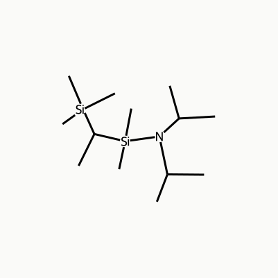 CC(C)N(C(C)C)[Si](C)(C)C(C)[Si](C)(C)C